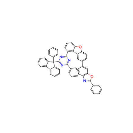 c1ccc(-c2nc(-c3cccc4oc5ccc(-c6ccc7nc(-c8ccccc8)oc7c6)cc5c34)nc(C3(c4ccccc4)c4ccccc4-c4ccccc43)n2)cc1